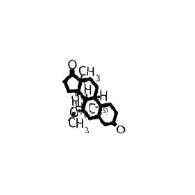 CO[C@@H]1CC2CC(=O)CC[C@]2(C)[C@H]2CC[C@]3(C)C(=O)CC[C@H]3[C@H]12